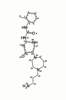 Cc1ccccc1NC(=O)Nc1nc(=O)c(N2CCCN(CCCN)CC2)c[nH]1